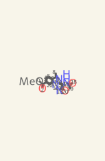 COC(=O)c1ccc(C(C)Nc2ncnc3c2NC(=O)CO3)cc1